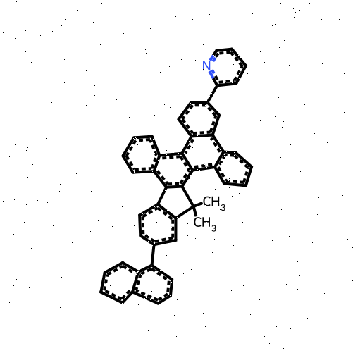 CC1(C)c2cc(-c3cccc4ccccc34)ccc2-c2c1c1c3ccccc3c3cc(-c4ccccn4)ccc3c1c1ccccc21